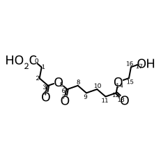 O=C(O)CCC(=O)OC(=O)CCCCC(=O)OCCO